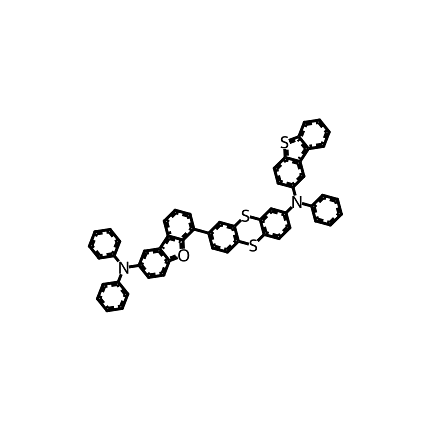 c1ccc(N(c2ccccc2)c2ccc3oc4c(-c5ccc6c(c5)Sc5cc(N(c7ccccc7)c7ccc8sc9ccccc9c8c7)ccc5S6)cccc4c3c2)cc1